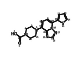 O=C(O)N1CCN(c2ncc(-c3cccs3)n3nnnc23)CC1